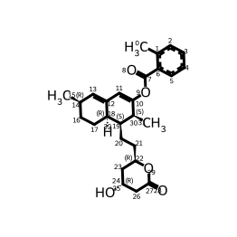 Cc1ccccc1C(=O)OC1=CC2=C[C@H](C)CC[C@@H]2[C@H](CC[C@@H]2C[C@@H](O)CC(=O)O2)[C@@H]1C